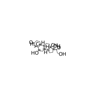 C[C@]12CCC(=O)C=C1[C@H](O)C[C@@H]1[C@@H]2CC[C@@]2(C)[C@H]1CC[C@]2(O)C(=O)CO